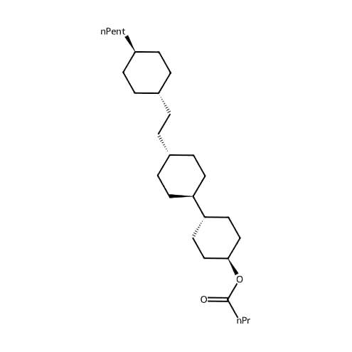 CCCCC[C@H]1CC[C@H](CC[C@H]2CC[C@H]([C@H]3CC[C@H](OC(=O)CCC)CC3)CC2)CC1